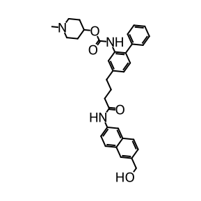 CN1CCC(OC(=O)Nc2cc(CCCC(=O)Nc3ccc4cc(CO)ccc4c3)ccc2-c2ccccc2)CC1